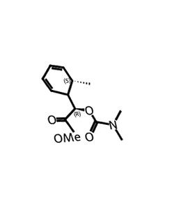 COC(=O)[C@H](OC(=O)N(C)C)C1C=CC=C[C@@H]1C